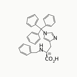 O=C(O)[C@H](Cc1cn(C(c2ccccc2)(c2ccccc2)c2ccccc2)cn1)NCc1ccccc1